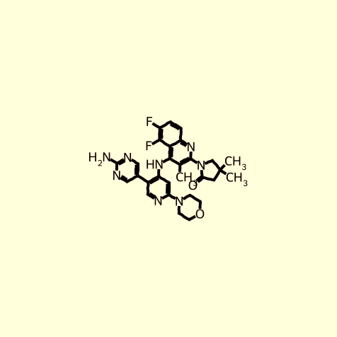 Cc1c(N2CC(C)(C)CC2=O)nc2ccc(F)c(F)c2c1Nc1cc(N2CCOCC2)ncc1-c1cnc(N)nc1